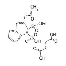 C=CCc1cc2ccccc2c(S(=O)(=O)O)c1S(=O)(=O)O.O=C(O)CCC(=O)O